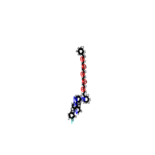 Fc1cccc(N2CCC[C@@H]3[C@H]2CCN3c2cc(N3CCCCC3CCOCCOCCOCCOCCOCc3ccccc3)ccn2)c1